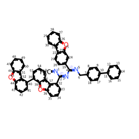 C=N/C(=N\C(=N/Cc1ccc(-c2ccccc2)cc1)c1ccc2c(c1)oc1ccccc12)c1cccc2oc3c(-c4cccc5oc6ccccc6c45)cccc3c12